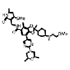 COCCN(C)C1CCC(C2(C)Oc3c(-c4cnc(N5CC(C)OC(C)C5)nc4)cc(C(=O)NCc4c(SC)cc(C)[nH]c4=O)c(C)c3O2)CC1